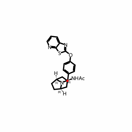 CC(=O)N[C@H]1C[C@H]2CC[C@@H](C1)N2Cc1ccc(Oc2nc3cccnc3s2)cc1